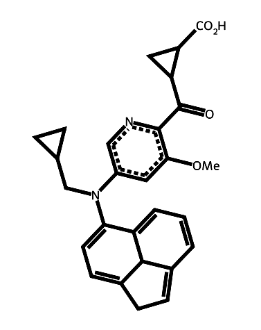 COc1cc(N(CC2CC2)C2=CC=C3CC=C4C=CC=C2C43)cnc1C(=O)C1CC1C(=O)O